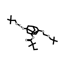 CCC(C)(C)C(=O)OC12CC3CC(OCOCC(C)(C)C)(CC(OCOCC(C)(C)C)(C3)C1)C2